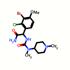 COc1ccc(C(NC(=O)N(C)C2CCN(C)CC2)C(N)=O)c(Cl)c1Br